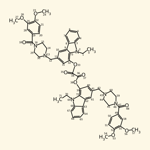 CCn1c2ccccc2c2cc(CN3CCN(C(=O)c4ccc(OC)c(OC)c4)CC3)cc(OC(=O)C(=O)Oc3cc(CN4CCN(C(=O)c5ccc(OC)c(OC)c5)CC4)cc4c5ccccc5n(CC)c34)c21